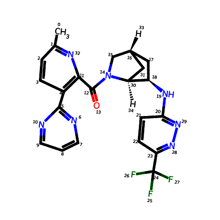 Cc1ccc(-c2ncccn2)c(C(=O)N2C[C@@H]3C[C@@H](Nc4ccc(C(F)(F)F)nn4)[C@@H]2C3)n1